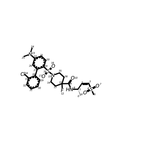 C[C@@H](/C=C\S(C)(=O)=O)NC(=O)C1(F)CCN(S(=O)(=O)c2ccc(N(C)C)cc2-c2ccccc2Cl)CC1